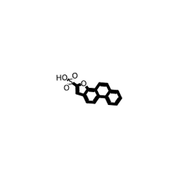 O=S(=O)(O)c1cc2ccc3c4ccccc4ccc3c2o1